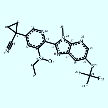 CC[S+]([O-])c1cc(C2(C#N)CC2)cnc1-c1nc2cc(SC(F)(F)F)cnc2n1C